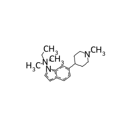 CC[N+](C)(C)n1ccc2ccc(C3CCN(C)CC3)cc21